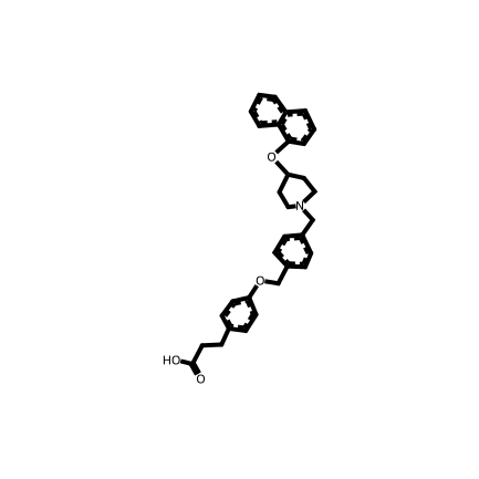 O=C(O)CCc1ccc(OCc2ccc(CN3CCC(Oc4cccc5ccccc45)CC3)cc2)cc1